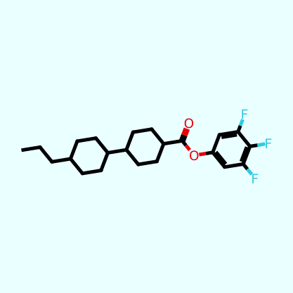 CCCC1CCC(C2CCC(C(=O)Oc3cc(F)c(F)c(F)c3)CC2)CC1